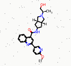 CCOc1ccc(-c2cc(C(=O)NC3C[C@@H]4CN([C@H](C)CO)C[C@@H]4C3)c3ccccc3n2)cn1